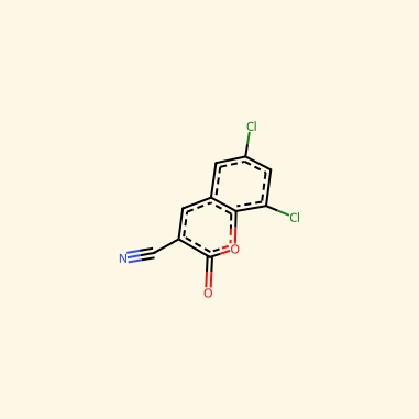 N#Cc1cc2cc(Cl)cc(Cl)c2oc1=O